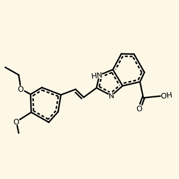 CCOc1cc(/C=C/c2nc3c(C(=O)O)cccc3[nH]2)ccc1OC